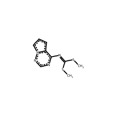 CSC(=Nc1ncnn2cccc12)SC